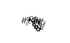 CC(C)(O)c1cnc([S@](N)(=O)=NC(=O)Nc2c3c(cc4c2C(=O)CC4)CCC3)s1